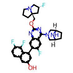 Oc1cc(-c2cc3nc(OC[C@@]45CCCN4C[C@H](F)C5)nc(N4C[C@H]5CC[C@@H](C4)N5)c3cc2F)c2c(F)c(F)ccc2c1